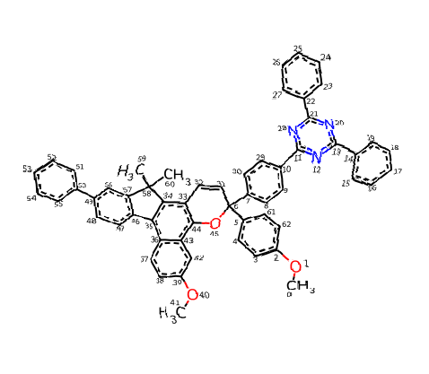 COc1ccc(C2(c3ccc(-c4nc(-c5ccccc5)nc(-c5ccccc5)n4)cc3)C=Cc3c4c(c5ccc(OC)cc5c3O2)-c2ccc(-c3ccccc3)cc2C4(C)C)cc1